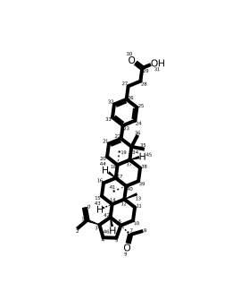 C=C(C)[C@@H]1CC[C@]2(C(C)=O)CC[C@]3(C)[C@H](CC[C@@H]4[C@@]5(C)CC=C(c6ccc(CCC(=O)O)cc6)C(C)(C)[C@@H]5CC[C@]43C)[C@@H]12